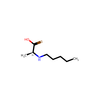 CCCCCN[C@@H](C)C(O)=S